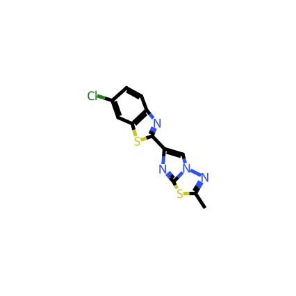 Cc1nn2cc(-c3nc4ccc(Cl)cc4s3)nc2s1